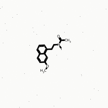 COc1ccc2cccc(CCN(I)C(C)=O)c2c1